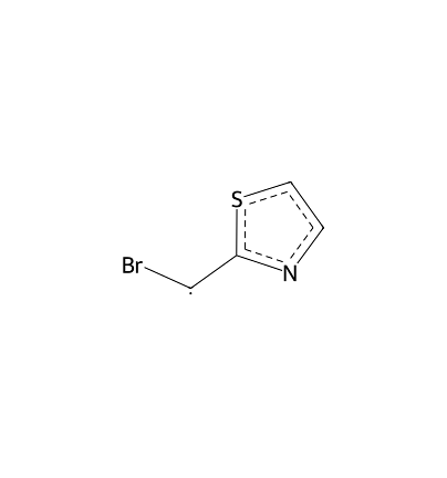 Br[CH]c1nccs1